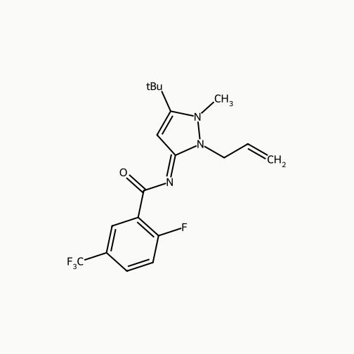 C=CCn1/c(=N/C(=O)c2cc(C(F)(F)F)ccc2F)cc(C(C)(C)C)n1C